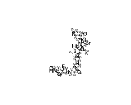 CCc1cc(Nc2ncc(Br)c(Nc3ccc4nc(C)ccc4c3P(C)(C)=O)n2)c(OC2CC2)cc1N1CCC(N2CCN(C(=O)[C@@H]3CCN(c4cc(F)c([C@H]5CCC(=O)NC5=O)c(F)c4)C3)CC2)CC1